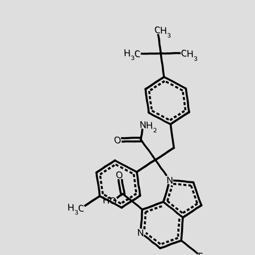 Cc1ccc(C(Cc2ccc(C(C)(C)C)cc2)(C(N)=O)n2ccc3c(F)cnc(C(=O)O)c32)cc1